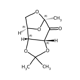 CC1(C)O[C@@H]2[C@H]3CO[C@](C)(O3)C(=O)[C@@H]2O1